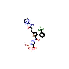 FC(F)(F)c1ccccc1.O=C(CCc1ccc(C(=O)NC[C@H](N=S(=O)=O)C(=O)O)s1)NC1=NCCCN1